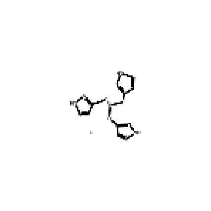 [Ni].c1cc(OB(Oc2cc[nH]n2)Oc2cc[nH]n2)n[nH]1